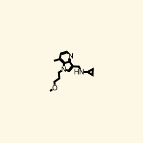 COCCCn1cc(CNC2CC2)c2nccc(C)c21